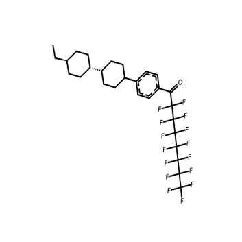 CC[C@H]1CC[C@H](C2CCC(c3ccc(C(=O)C(F)(F)C(F)(F)C(F)(F)C(F)(F)C(F)(F)C(F)(F)C(F)(F)F)cc3)CC2)CC1